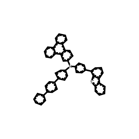 c1ccc(-c2ccc(-c3ccc(N(c4ccc(-c5cccc6c5sc5ccccc56)cc4)c4ccc5c6ccccc6c6ccccc6c5c4)cc3)cc2)cc1